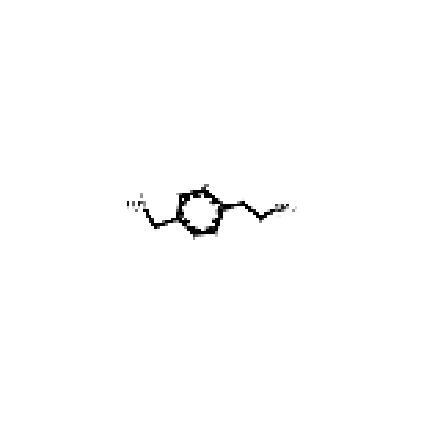 CSCCc1ccc(CN)cc1